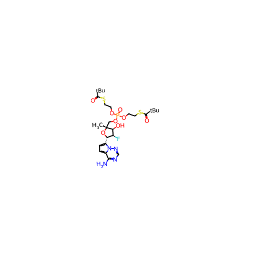 CC(C)(C)C(=O)SCCOP(=O)(OCCSC(=O)C(C)(C)C)OC[C@@]1(C)O[C@@H](c2ccc3c(N)ncnn23)[C@H](F)[C@@H]1O